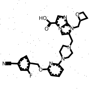 N#Cc1ccc(COc2cccc(N3CCN(Cc4cn5c(C(=O)O)cnc5n4CC4CCO4)CC3)n2)c(F)c1